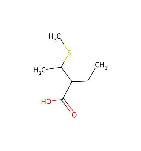 CCC(C(=O)O)C(C)SC